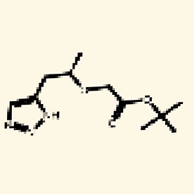 C[C@H](Cc1cnn[nH]1)OCC(=O)OC(C)(C)C